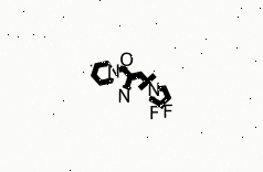 CC(C)(C=C(C#N)C(=O)N1C[CH]CCC1)N1CCC(F)(F)C1